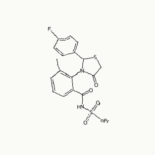 CCCS(=O)(=O)NC(=O)c1cccc(C)c1N1C(=O)CSC1c1ccc(F)cc1